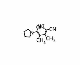 CC(=C(C#N)C#N)/C(C)=C(\O)N1CCCC1